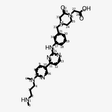 CNCCCN(C)c1ccc(-c2ccnc(Nc3cccc(CN4CCN(CC(=O)O)C(=O)C4)c3)n2)cn1